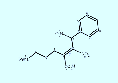 CCCC(C)CCC/C(C(=O)O)=C(\C(c1ccccc1)[N+](=O)[O-])[N+](=O)[O-]